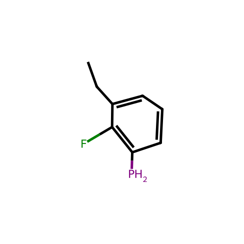 CCc1cccc(P)c1F